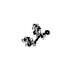 C=C(O[C@H](C)c1ccccc1)C(C)(C#CC#Cc1cnc([C@@H]2CCCN2C(=O)[C@@H](NC(=O)OC)C(C)C)[nH]1)/N=C(\N)[C@@H]1CCCN1C(=O)[C@@H](NC(=O)OC)C(C)C